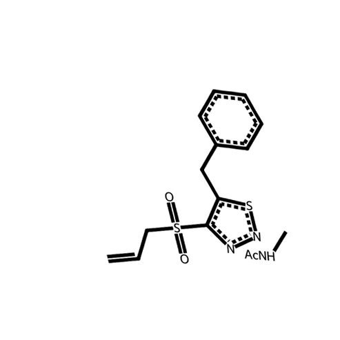 C=CCS(=O)(=O)c1nnsc1Cc1ccccc1.CNC(C)=O